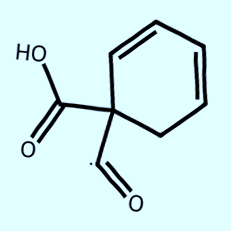 O=[C]C1(C(=O)O)C=CC=CC1